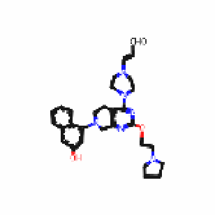 O=CC=CN1CCN(c2nc(OCCN3CCCC3)nc3c2CCN(c2cc(O)cc4ccccc24)C3)CC1